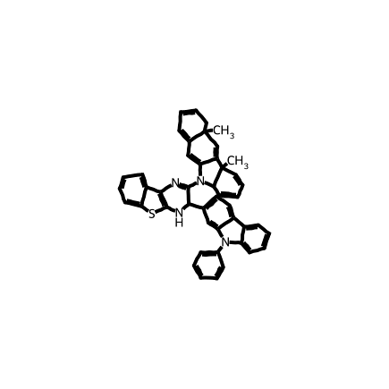 CC12C=C3C(=CC1=CC=CC2)N(C1=Nc2c(sc4ccccc24)NC1c1ccc2c4ccccc4n(-c4ccccc4)c2c1)C1C=CC=CC31C